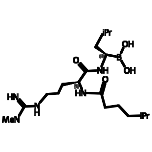 CNC(=N)NCCC[C@H](NC(=O)CCCC(C)C)C(=O)N[C@@H](CC(C)C)B(O)O